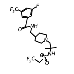 CC(C)(CN1CCC(CNC(=O)c2cc(F)cc(C(F)(F)F)c2)CC1)NS(=O)(=O)CC(F)(F)F